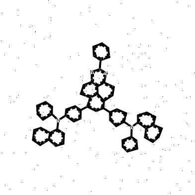 c1ccc(-c2nc3ccc4c(-c5ccc(N(c6ccccc6)c6cccc7ccccc67)cc5)cc(-c5ccc(N(c6ccccc6)c6cccc7ccccc67)cc5)c5ccc(n2)c3c45)cc1